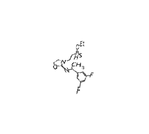 CCO[PH](=S)CCN1CCOC1=NC(C)c1cc(F)cc(F)c1